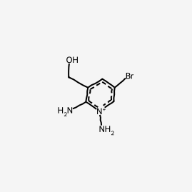 Nc1c(CO)cc(Br)c[n+]1N